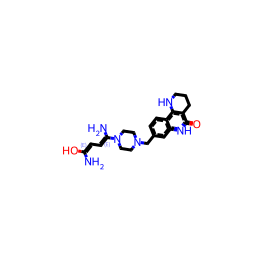 N/C(O)=C\C=C(/N)N1CCN(Cc2ccc3c4c(c(=O)[nH]c3c2)CCCN4)CC1